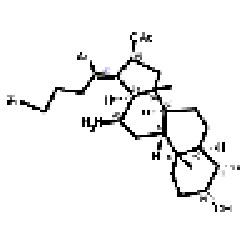 CC(=O)O[C@H]1C[C@@]2(C)[C@H](/C1=C(\CCCC(C)C)C(C)=O)[C@H](N)C[C@H]1[C@@]3(C)CC[C@@H](O)[C@@H](C)[C@@H]3CC[C@@]12C